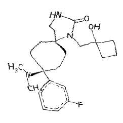 CN(C)[C@]1(c2cccc(F)c2)CC[C@@]2(CC1)CNC(=O)N2CC1(O)CCC1